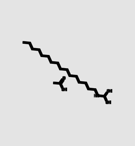 CC(=O)O.CCCCCCCCCCCCCCCCNC(O)O